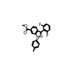 COC(=O)c1ccc2c(-c3c(F)cccc3F)nn(-c3ccc(C)cc3)c2c1